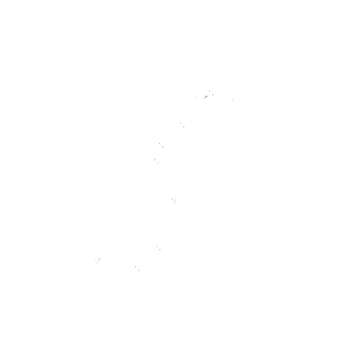 COc1cc(-c2cnc(-c3ccc(N4CC[C@@H](NC(C)(C)C)C4)nn3)c(O)c2)ncn1